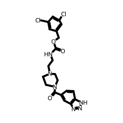 O=C(NCCN1CCN(C(=O)c2ccc3[nH]nnc3c2)CC1)OCc1cc(Cl)cc(Cl)c1